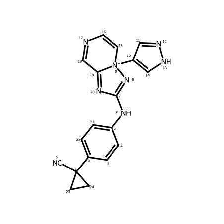 N#CC1(c2ccc(NC3=N[N+]4(c5cn[nH]c5)C=CN=CC4=N3)cc2)CC1